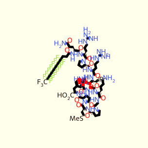 CSCC[C@H](NC(=O)[C@@H]1CCCN1C(=O)CNC(=O)[C@H](CCCCN)NC(=O)[C@H](Cc1c[nH]cn1)NC(=O)[C@H](CO)NC(=O)[C@H](CC(C)C)NC(=O)C(CCCNC(=N)N)NC(=O)[C@@H]1CCCN1C(=O)[C@H](CCCNC(=N)N)NC(=O)[C@H](CCC(N)=O)NC(=O)CCC(F)(F)C(F)(F)C(F)(F)C(F)(F)C(F)(F)C(F)(F)C(F)(F)C(F)(F)F)C(=O)N1CCCC1C(=O)N[C@@H](Cc1ccccc1)C(=O)O